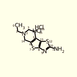 CCN1CCc2c(sc3nc(N)sc23)C1.Cl.Cl